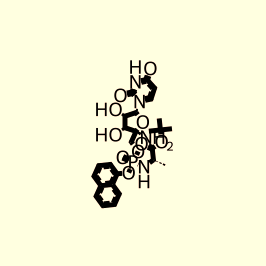 C[C@H](NP(=O)(OC[C@@]1(N)O[C@@H](n2ccc(=O)[nH]c2=O)[C@H](O)[C@@H]1O)Oc1cccc2ccccc12)C(=O)OC(C)(C)C